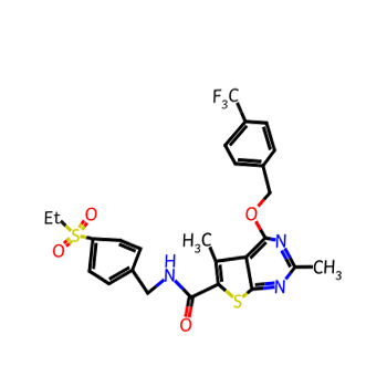 CCS(=O)(=O)c1ccc(CNC(=O)c2sc3nc(C)nc(OCc4ccc(C(F)(F)F)cc4)c3c2C)cc1